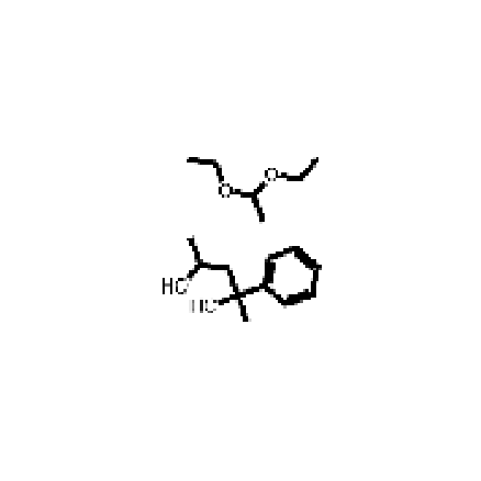 CC(O)CC(C)(O)c1ccccc1.CCOC(C)OCC